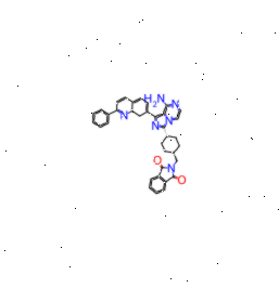 Nc1nccn2c1c(C1=CC=C3C=CC(c4ccccc4)=NC3C1)nc2[C@H]1CC[C@H](CN2C(=O)c3ccccc3C2=O)CC1